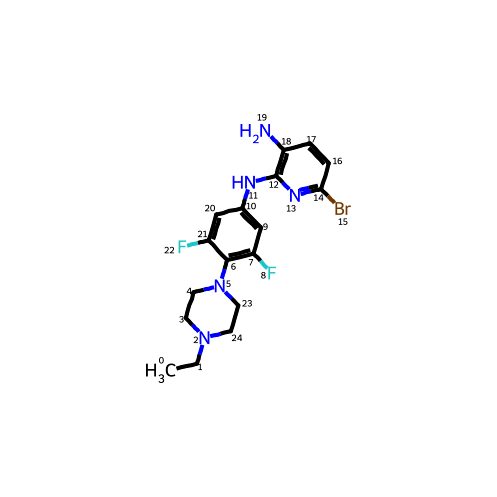 CCN1CCN(c2c(F)cc(Nc3nc(Br)ccc3N)cc2F)CC1